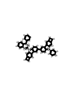 c1ccc(-c2nc(-n3c4ccc(-c5ccc6c(c5)c5cc7c(cc5n6-c5ccccc5)CC7)cc4c4cc5c(cc43)CC5)nc3ccccc23)cc1